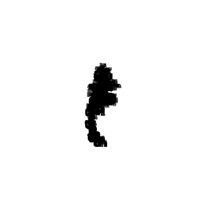 CCC(CO)OC(COC(=O)CCCC(=O)NC(C)CC(=O)[C@H](Cc1ccccc1)NC(=O)[C@H](C)[C@@H](OC)[C@@H]1CCCN1C(=O)C[C@@H](OC)[C@H]([C@@H](C)CC)N(C)C(=O)[C@@H](NC(=O)[C@H](C(C)C)N(C)C)C(C)C)OC